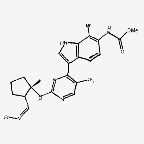 CC/N=C\C1CCC[C@]1(C)Nc1ncc(C(F)(F)F)c(-c2c[nH]c3c(Br)c(NC(=O)OC)ccc23)n1